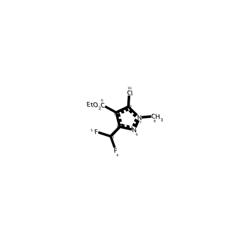 CCOC(=O)c1c(C(F)F)nn(C)c1Cl